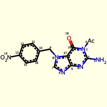 CC(=O)n1c(N)nc2ncn(Cc3ccc([N+](=O)[O-])cc3)c2c1=O